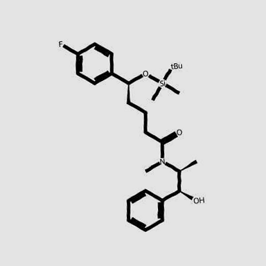 C[C@@H]([C@@H](O)c1ccccc1)N(C)C(=O)CCC[C@H](O[Si](C)(C)C(C)(C)C)c1ccc(F)cc1